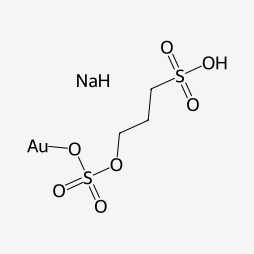 O=S(=O)(O)CCCOS(=O)(=O)[O][Au].[NaH]